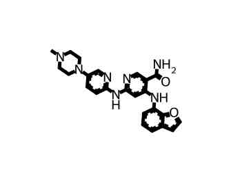 CN1CCN(c2ccc(Nc3cc(Nc4cccc5ccoc45)c(C(N)=O)cn3)nc2)CC1